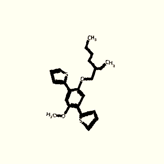 CCCCC(CC)COc1cc(-c2cccs2)c(OC)cc1-c1cccs1